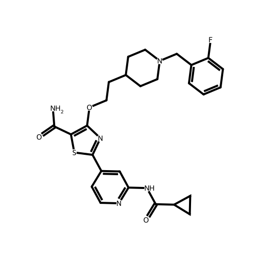 NC(=O)c1sc(-c2ccnc(NC(=O)C3CC3)c2)nc1OCCC1CCN(Cc2ccccc2F)CC1